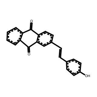 O=C1c2ccccc2C(=O)c2cc(C=Cc3ccc(O)cc3)ccc21